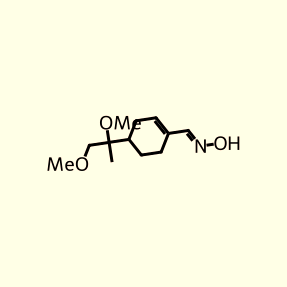 COCC(C)(OC)C1CC=C(C=NO)CC1